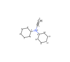 C#CN(C1CCCCC1)C1CCCCC1